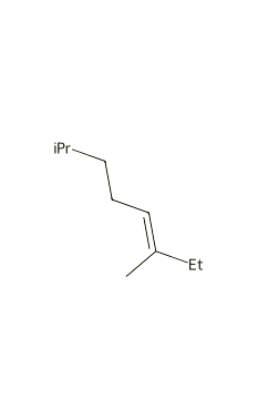 CC/C(C)=C/CCC(C)C